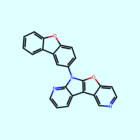 c1ccc2c(c1)oc1ccc(-n3c4ncccc4c4c5cnccc5oc43)cc12